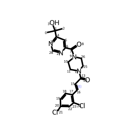 CC(C)(O)c1cc(C(=O)N2CCN(C(=O)/C=C/c3ccc(Cl)cc3Cl)CC2)ncn1